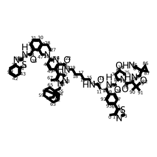 Cc1ncsc1-c1ccc([C@H](CC(=O)NCCCCCNC(=O)c2nc(N3CCc4cccc(C(=O)Nc5nc6ccccc6s5)c4C3)ccc2-c2cnn(CC34CC5CC(CC(C5)C3)C4)c2C)NC(=O)[C@@H]2C[C@@H](O)CN2C(=O)[C@@H](NC(=O)C2(C#N)CC2)C(C)(C)C)cc1